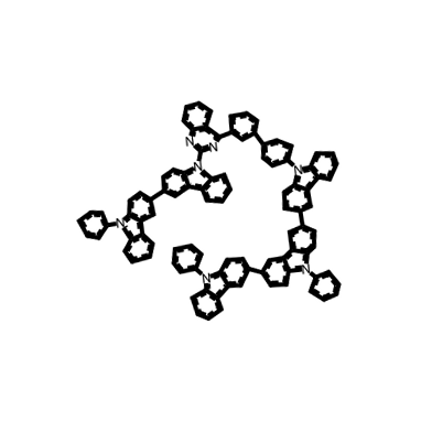 c1ccc(-n2c3ccccc3c3cc(-c4ccc5c(c4)c4cc(-c6ccc7c(c6)c6ccccc6n7-c6ccc(-c7cccc(-c8nc(-n9c%10ccccc%10c%10cc(-c%11ccc%12c(c%11)c%11ccccc%11n%12-c%11ccccc%11)ccc%109)nc9ccccc89)c7)cc6)ccc4n5-c4ccccc4)ccc32)cc1